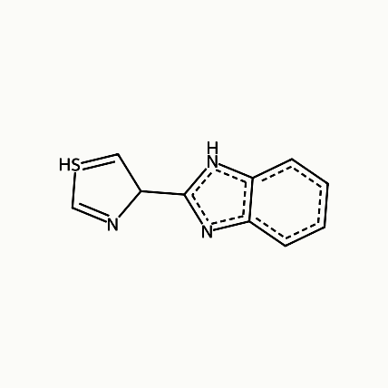 C1=NC(c2nc3ccccc3[nH]2)C=[SH]1